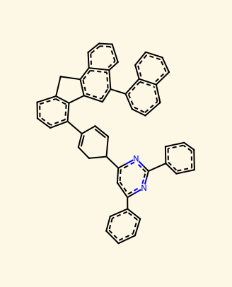 C1=CC(c2cc(-c3ccccc3)nc(-c3ccccc3)n2)CC=C1c1cccc2c1-c1cc(-c3cccc4ccccc34)c3ccccc3c1C2